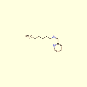 O=C(O)CCCCC/N=C\c1ccccn1